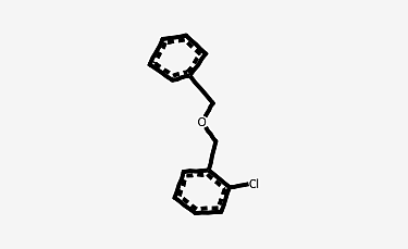 Clc1ccccc1COCc1ccccc1